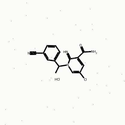 CC(c1cccc(C#N)c1)n1cc(Cl)cc(C(N)=O)c1=N.Cl